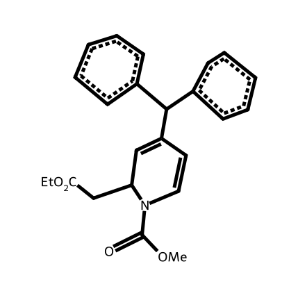 CCOC(=O)CC1C=C(C(c2ccccc2)c2ccccc2)C=CN1C(=O)OC